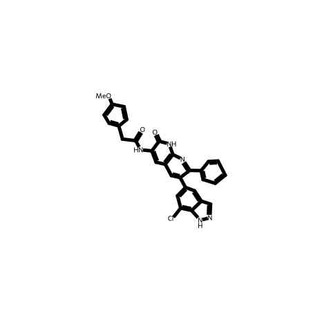 COc1ccc(CC(=O)Nc2cc3cc(-c4cc(Cl)c5[nH]ncc5c4)c(-c4ccccc4)nc3[nH]c2=O)cc1